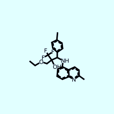 CCOCC(O)(C(Nc1cccc2nc(C)ccc12)c1ccc(C)cc1)C(F)(F)F